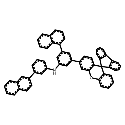 c1cc(Nc2cc(-c3ccc4c(c3)Oc3ccccc3C43c4ccccc4-c4ccccc43)cc(-c3cccc4ccccc34)c2)cc(-c2ccc3ccccc3c2)c1